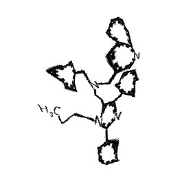 CCCCn1c(-c2ccccc2)nc(-c2ccccc2)c1CN(Cc1ccccc1)Cc1cnc2ccccc2c1